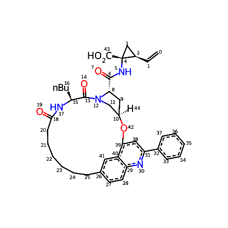 C=C[C@@H]1C[C@]1(NC(=O)[C@@H]1C[C@@H]2CN1C(=O)[C@H](CCCC)NC(=O)CCCCCCc1ccc3nc(-c4ccccc4)cc(c3c1)O2)C(=O)O